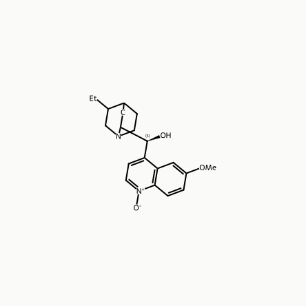 CCC1CN2CCC1CC2[C@@H](O)c1cc[n+]([O-])c2ccc(OC)cc12